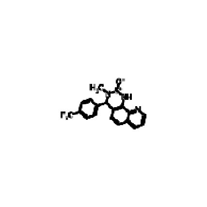 CN1C(c2ccc(C(F)(F)F)cc2)c2ccc3cccnc3c2N[S+]1[O-]